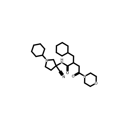 N#CC1(NC(=O)C(CC(=O)N2CCOCC2)CC2CCCCC2)CCN(C2CCCCC2)C1